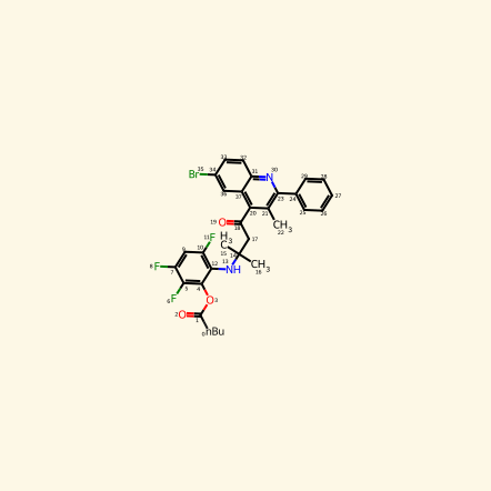 CCCCC(=O)Oc1c(F)c(F)cc(F)c1NC(C)(C)CC(=O)c1c(C)c(-c2ccccc2)nc2ccc(Br)cc12